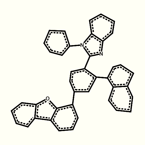 c1ccc(-n2c(-c3ccc(-c4cccc5c4oc4ccccc45)cc3-c3cccc4ccccc34)nc3ccccc32)cc1